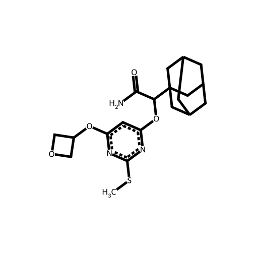 CSc1nc(OC2COC2)cc(OC(C(N)=O)C23CC4CC(CC(C4)C2)C3)n1